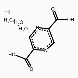 I.O.O.O=C(O)c1cnc(C(=O)O)cn1.[CaH2]